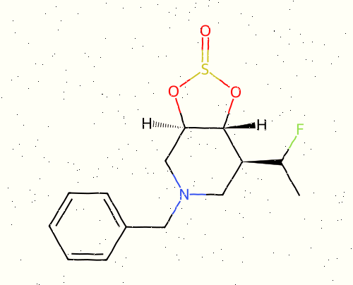 CC(F)[C@H]1CN(Cc2ccccc2)C[C@H]2OS(=O)O[C@H]12